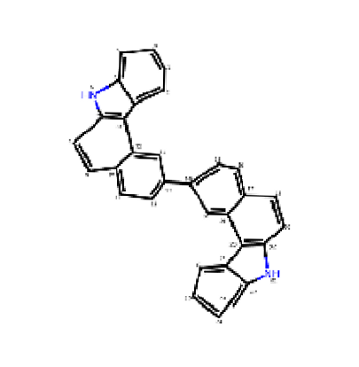 c1ccc2c(c1)[nH]c1ccc3ccc(-c4ccc5ccc6[nH]c7ccccc7c6c5c4)cc3c12